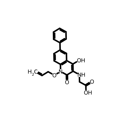 C=CCOn1c(=O)c(NCC(=O)O)c(O)c2cc(-c3ccccc3)ccc21